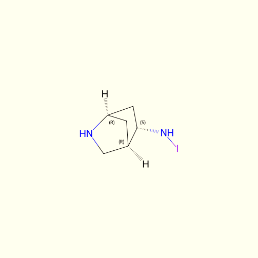 IN[C@H]1C[C@H]2C[C@@H]1CN2